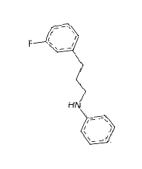 Fc1cccc(CCCNc2cc[c]cc2)c1